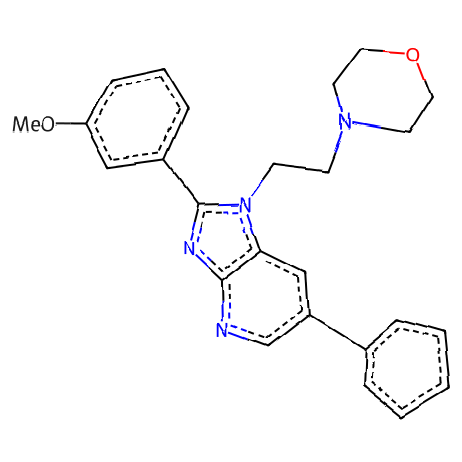 COc1cccc(-c2nc3ncc(-c4ccccc4)cc3n2CCN2CCOCC2)c1